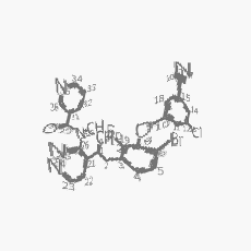 C=C(Cc1ccc(Br)c(Oc2cc(Cl)cc(C#N)c2)c1F)c1ccnnc1N(C)C(=O)c1cccnc1